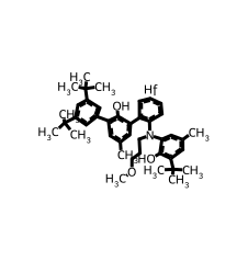 COCCCN(c1ccccc1-c1cc(C)cc(-c2cc(C(C)(C)C)cc(C(C)(C)C)c2)c1O)c1cc(C)cc(C(C)(C)C)c1O.[Hf]